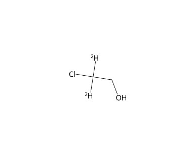 [2H]C([2H])(Cl)CO